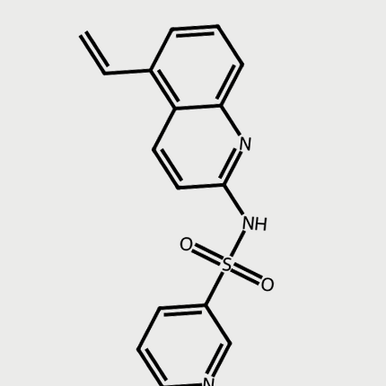 C=Cc1cccc2nc(NS(=O)(=O)c3cccnc3)ccc12